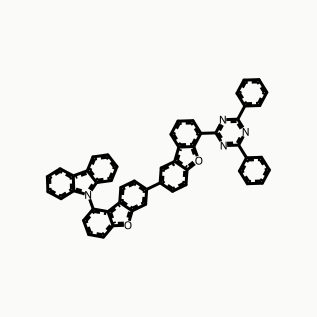 c1ccc(-c2nc(-c3ccccc3)nc(-c3cccc4c3oc3ccc(-c5ccc6c(c5)oc5cccc(-n7c8ccccc8c8ccccc87)c56)cc34)n2)cc1